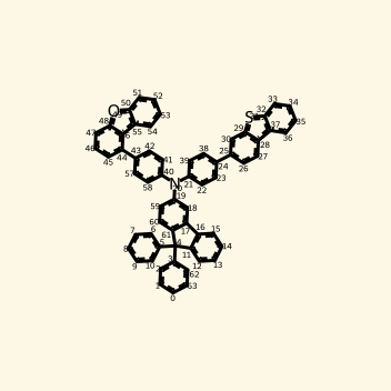 c1ccc(C2(c3ccccc3)c3ccccc3-c3cc(N(c4ccc(-c5ccc6c(c5)sc5ccccc56)cc4)c4ccc(-c5cccc6oc7ccccc7c56)cc4)ccc32)cc1